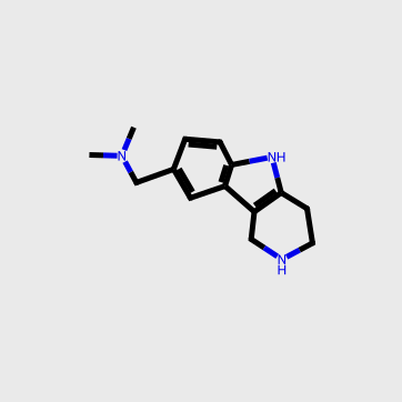 CN(C)Cc1ccc2[nH]c3c(c2c1)CNCC3